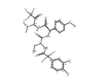 COc1ccc(C(NC(=O)C(CO)NC(=O)C(F)(F)c2ccc(Cl)c(Cl)c2)C(=O)NC(C(=O)C(F)(F)F)C(C)C)cc1